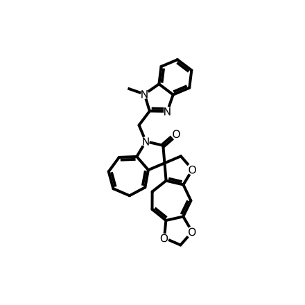 Cn1c(CN2C(=O)C3(COC4=C3CC=C3OCOC3=C4)C3=CCC=CC=C32)nc2ccccc21